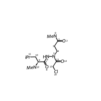 CNC(=O)CCN(NC(=O)[C@H](CC(C)C)NC)C(=O)CCl